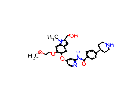 COCCOc1cc2c(cc1Oc1ccnc(NC(=O)c3ccc(C4CCNCC4)cc3)c1)cc(CO)n2C